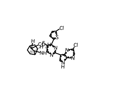 O=C(O)[C@H]1C2CCC(CC2)[C@@H]1Nc1nc(-c2c[nH]c3ncc(Cl)nc23)nc(-c2ccc(Cl)s2)c1F